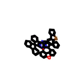 c1ccc(-c2ccccc2-c2cccc3oc4cccc(-c5nc(-c6ccc7sc8ccccc8c7c6)nc(-c6ccccc6C6(c7ccccc7)c7ccccc7-c7ccccc76)n5)c4c23)cc1